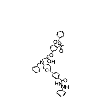 CS(=O)(=O)c1cc(OC[C@@H](O)CN(Cc2ccccc2)C2CCC(c3ccc(C(=O)NNc4ccccc4)cc3)CC2)ccc1OCc1ccccc1